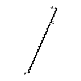 CCCC/C=C\CCCCCCCC(=O)OCCCCCCCCCCCCCCCCCCCCCCCCCCCCCCCCCC(C)C